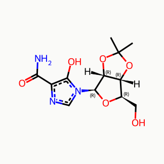 CC1(C)O[C@@H]2[C@H](O1)[C@@H](CO)O[C@H]2n1cnc(C(N)=O)c1O